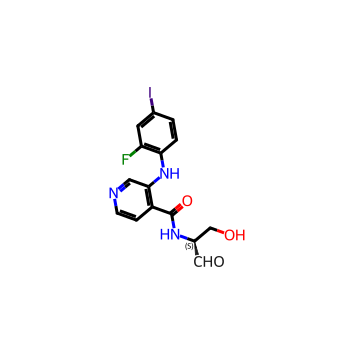 O=C[C@H](CO)NC(=O)c1ccncc1Nc1ccc(I)cc1F